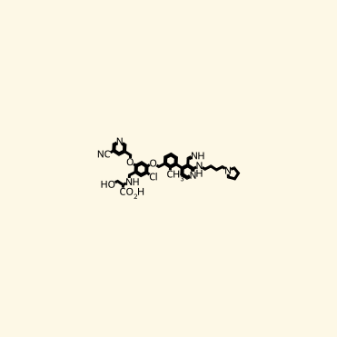 Cc1c(COc2cc(OCc3cncc(C#N)c3)c(CNC(CO)C(=O)O)cc2Cl)cccc1-c1ccnc(NCCCCN2CCCC2)c1C=N